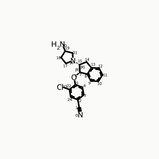 N#Cc1ccc(O[C@@H]2c3ccccc3C[C@H]2N2CCC(N)C2)c(Cl)c1